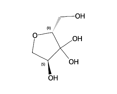 OC[C@H]1OC[C@H](O)C1(O)O